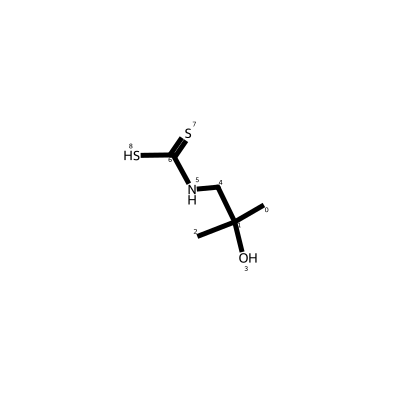 CC(C)(O)CNC(=S)S